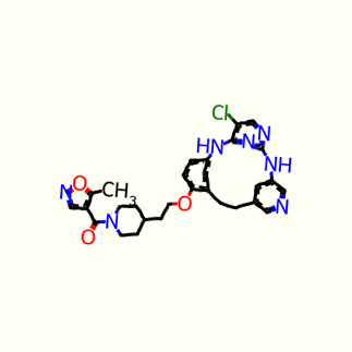 Cc1oncc1C(=O)N1CCC(CCOc2ccc3cc2CCc2cncc(c2)Nc2ncc(Cl)c(n2)N3)CC1